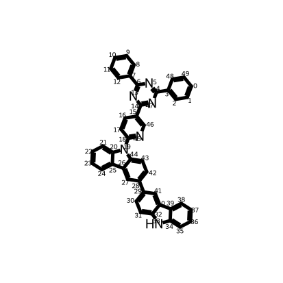 c1ccc(-c2nc(-c3ccccc3)nc(-c3ccc(-n4c5ccccc5c5cc(-c6ccc7[nH]c8ccccc8c7c6)ccc54)nc3)n2)cc1